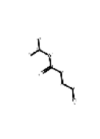 CC(C)OC(=O)CCCCl